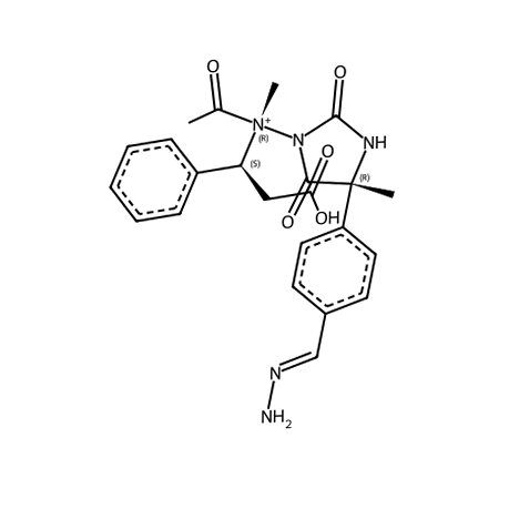 CC(=O)[N@@+](C)([C@@H](CC(=O)O)c1ccccc1)N1C(=O)N[C@](C)(c2ccc(C=NN)cc2)C1=O